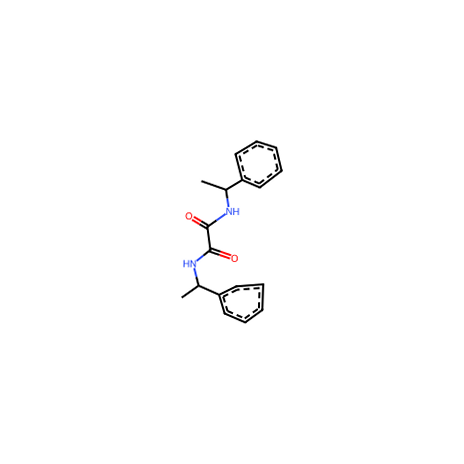 CC(NC(=O)C(=O)NC(C)c1ccccc1)c1ccccc1